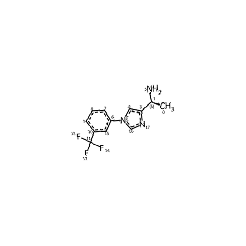 C[C@H](N)c1cn(-c2cccc(C(F)(F)F)c2)cn1